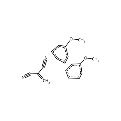 C=C(C#N)C#N.COc1ccccc1.COc1ccccc1